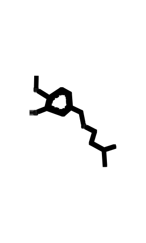 COc1ccc(COCCC(C)C)cc1O